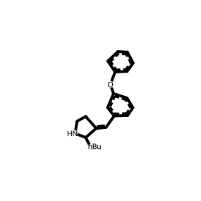 CCCCC1NCC/C1=C\c1cccc(Oc2ccccc2)c1